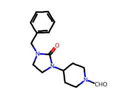 O=CN1CCC(N2CCN(Cc3ccccc3)C2=O)CC1